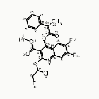 CC(C)OC(=O)c1c(SC(Cl)CF)nc2cc(F)c(F)cc2c1OC(=O)[C@H](C)c1ccccc1